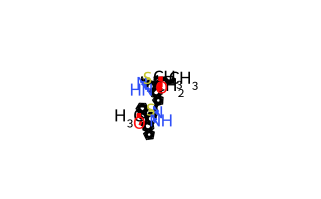 C=C(/C=C\C=C/C)[C@]1(CC)C2=C(CC3(CCC(c4nc5c(s4)[C@@](CC)(c4ccccc4)C4=C(CC6(CCCC6)CC4=O)N5)C3)CC2=O)Nc2ncsc21